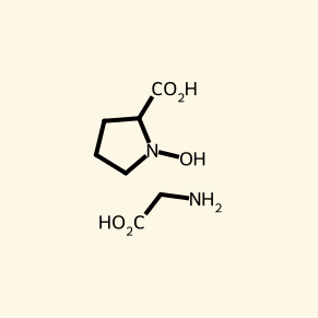 NCC(=O)O.O=C(O)C1CCCN1O